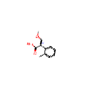 CO/C=C(\C(=O)O)c1ccccc1C